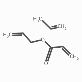 C=CC.C=CCOC(=O)C=C